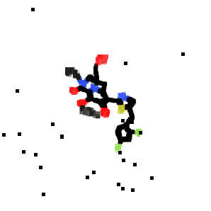 CCCCOc1c2n3c(c(-c4ncc(Cc5ccc(F)cc5F)s4)c1=O)CC3(CO)CN(C(C)C)C2=O